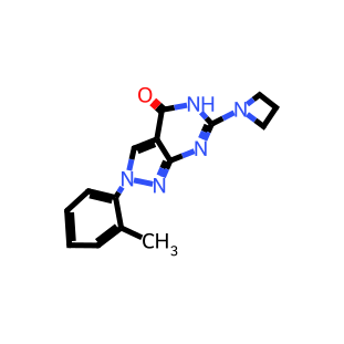 Cc1ccccc1-n1cc2c(=O)[nH]c(N3CCC3)nc2n1